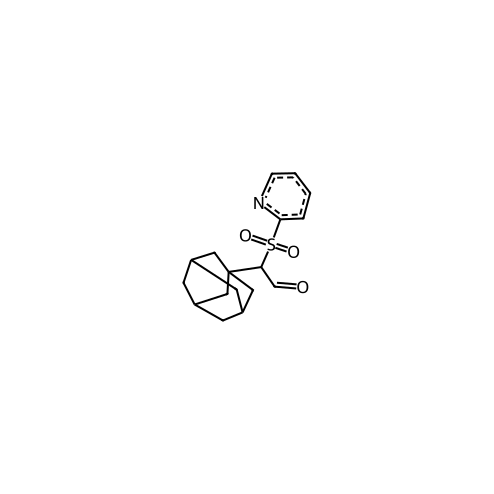 O=CC(C12CC3CC(CC(C3)C1)C2)S(=O)(=O)c1ccccn1